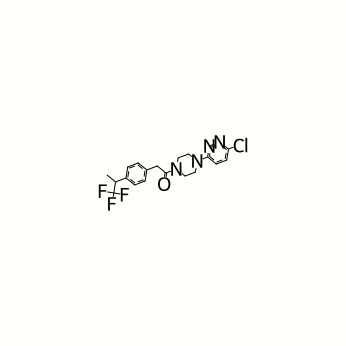 CC(c1ccc(CC(=O)N2CCN(c3ccc(Cl)nn3)CC2)cc1)C(F)(F)F